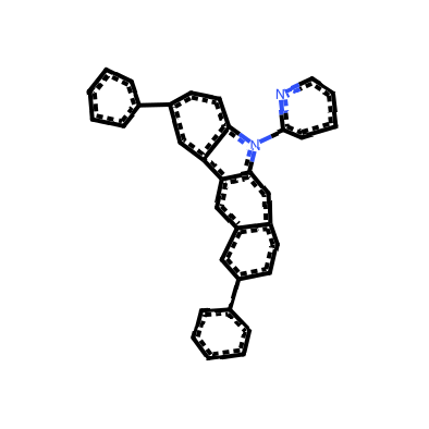 c1ccc(-c2ccc3cc4c(cc3c2)c2cc(-c3ccccc3)ccc2n4-c2ccccn2)cc1